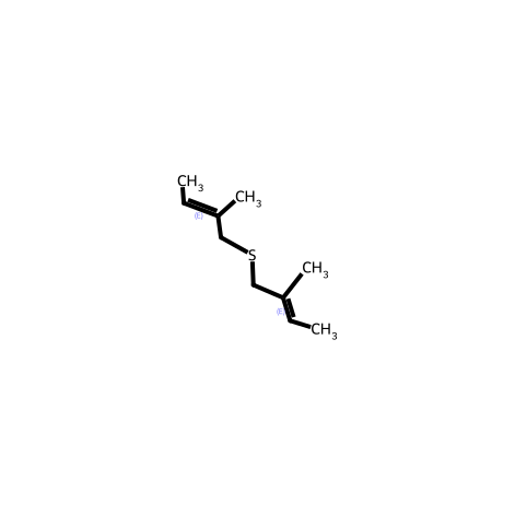 C/C=C(\C)CSC/C(C)=C/C